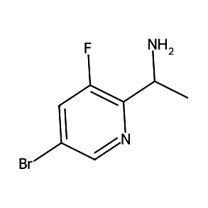 CC(N)c1ncc(Br)cc1F